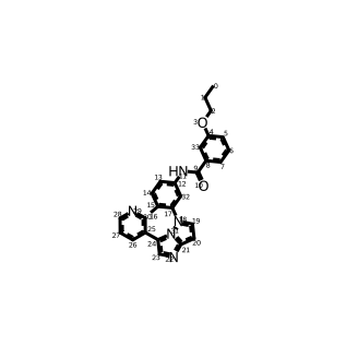 CCCOc1cccc(C(=O)Nc2ccc(C)c(-n3ccc4ncc(-c5cccnc5)n43)c2)c1